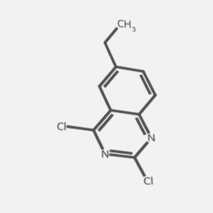 CCc1ccc2nc(Cl)nc(Cl)c2c1